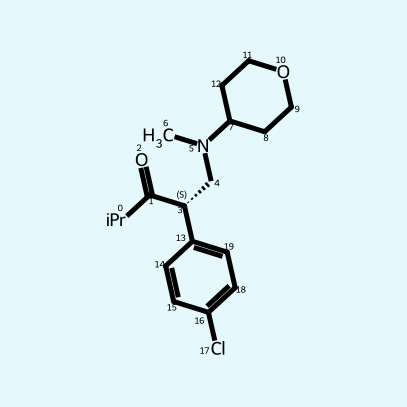 CC(C)C(=O)[C@H](CN(C)C1CCOCC1)c1ccc(Cl)cc1